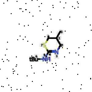 CC1CN=C(NC(C)(C)C)SC1